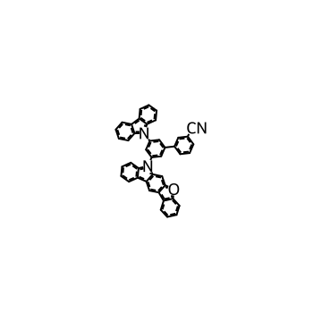 N#Cc1cccc(-c2cc(-n3c4ccccc4c4ccccc43)cc(-n3c4ccccc4c4cc5c(cc43)oc3ccccc35)c2)c1